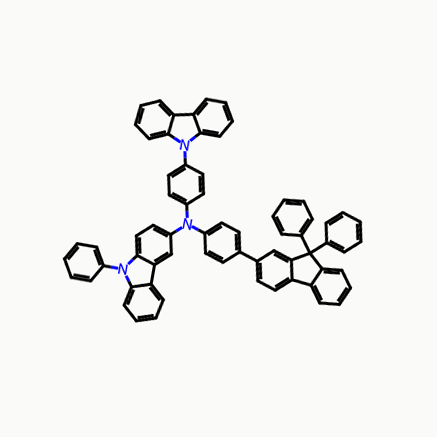 c1ccc(-n2c3ccccc3c3cc(N(c4ccc(-c5ccc6c(c5)C(c5ccccc5)(c5ccccc5)c5ccccc5-6)cc4)c4ccc(-n5c6ccccc6c6ccccc65)cc4)ccc32)cc1